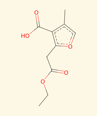 CCOC(=O)Cc1occ(C)c1C(=O)O